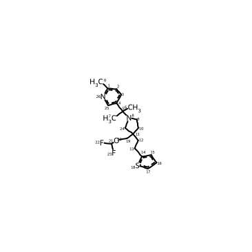 Cc1ccc(C(C)(C)N2CCC(CCc3cccs3)(COC(F)F)C2)cn1